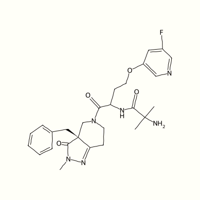 CN1N=C2CCN(C(=O)C(CCOc3cncc(F)c3)NC(=O)C(C)(C)N)C[C@@]2(Cc2ccccc2)C1=O